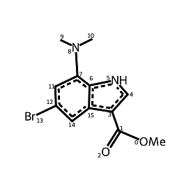 COC(=O)c1c[nH]c2c(N(C)C)cc(Br)cc12